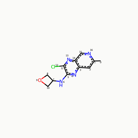 Cc1cc2nc(NC3COC3)c(Cl)nc2cn1